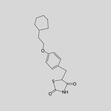 O=C1NC(=O)C(Cc2ccc(OCCC3CCCCC3)cc2)S1